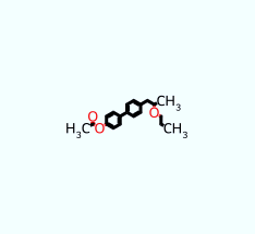 CCCOC(C)Cc1ccc(-c2ccc(OC(C)=O)cc2)cc1